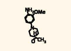 COc1cc(N2CC[SH](C)(=O)CC2)ccc1N